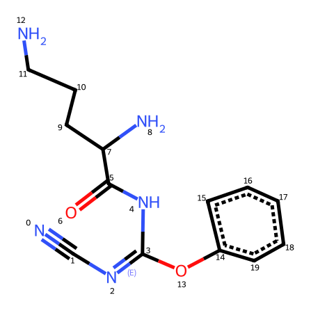 N#C/N=C(\NC(=O)C(N)CCCN)Oc1ccccc1